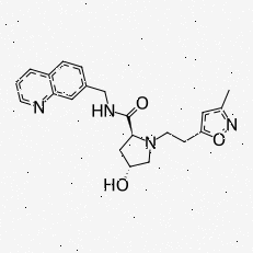 Cc1cc(CCN2C[C@H](O)C[C@H]2C(=O)NCc2ccc3cccnc3c2)on1